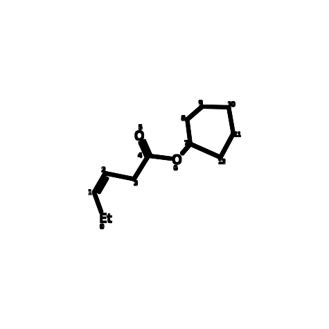 CC/C=C\CC(=O)OC1CCCCC1